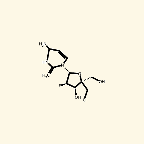 C=C1NC(N)C=CN1[C@@H]1O[C@@](CO)(CCl)[C@@H](O)[C@H]1F